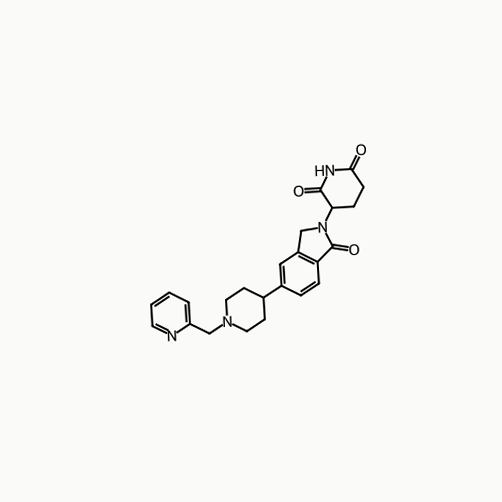 O=C1CCC(N2Cc3cc(C4CCN(Cc5ccccn5)CC4)ccc3C2=O)C(=O)N1